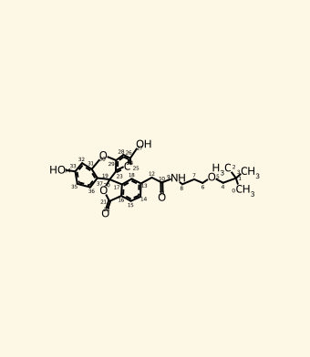 CC(C)(C)COCCCNC(=O)Cc1ccc2c(c1)C1(OC2=O)c2ccc(O)cc2Oc2cc(O)ccc21